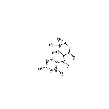 CC1(C)CCC(=O)C(C(=O)c2ccc(Cl)cc2Cl)C1=O